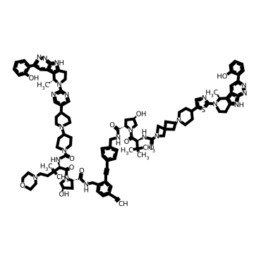 C#Cc1ccc(CNC(=O)[C@@H]2C[C@@H](O)CN2C(=O)[C@H](NC(=O)N2CCC(N3CCC(c4cnc(N5CCc6[nH]c7nnc(-c8ccccc8O)cc7c6[C@H]5C)nc4)CC3)CC2)C(C)(C)CCN2CCOCC2)c(C#Cc2ccc(CNC(=O)[C@@H]3C[C@@H](O)CN3C(=O)[C@@H](NC(=O)N3CC4(CC(N5CCC(c6cnc(N7CCc8[nH]c9nnc(-c%10ccccc%10O)cc9c8[C@@H]7C)s6)CC5)C4)C3)C(C)(C)C)cc2)c1